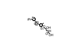 CCc1cc(-c2noc(-c3ccnc(C(C)C)c3)n2)cc(C)c1OCC(O)CNC(=O)CO